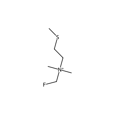 CSCC[N+](C)(C)CF